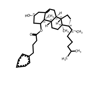 CC(C)CCC[C@@H](C)[C@H]1CC[C@H]2[C@@H]3CC=C4C[C@@H](O)CC(OC(=O)CCCc5ccccc5)[C@]4(C)[C@H]3CC[C@]12C